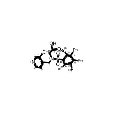 Cc1cnccc1CN(CC(=O)O)S(=O)(=O)c1c(F)c(F)c(F)c(F)c1Br